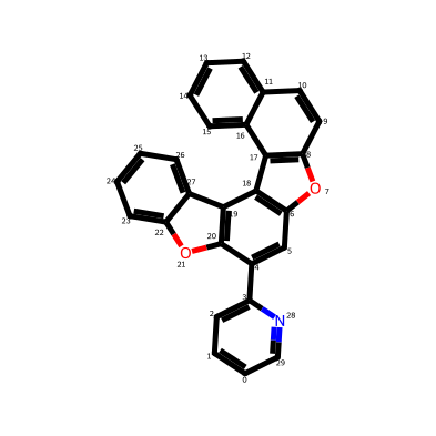 c1ccc(-c2cc3oc4ccc5ccccc5c4c3c3c2oc2ccccc23)nc1